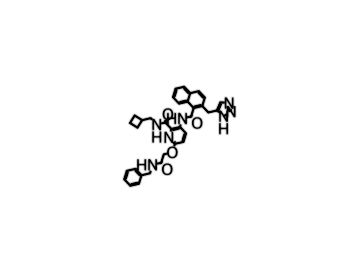 O=C(COc1ccc(NC(=O)c2c(Cc3cnn[nH]3)ccc3ccccc23)c(C(=O)NCC2CCC2)n1)NCc1ccccc1